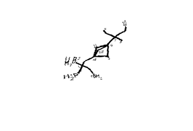 BC(B)(P)C12CC(C(C)(C)C)(C1)C2